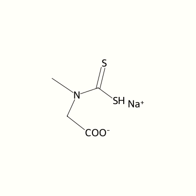 CN(CC(=O)[O-])C(=S)S.[Na+]